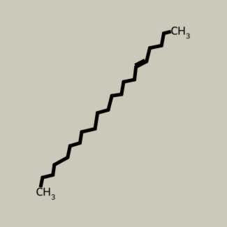 CCCC/C=C/CCCCCCCCCCCCCCC